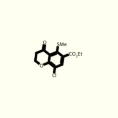 CCOC(=O)c1cc(Cl)c2c(c1SC)C(=O)CCO2